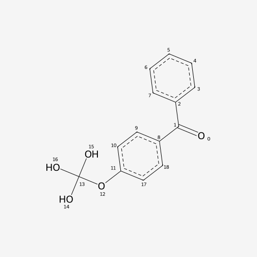 O=C(c1ccccc1)c1ccc(OC(O)(O)O)cc1